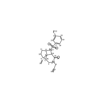 C#CCN1C[C@H](C=C)C23CCCC2N(S(=O)(=O)c2cccc(F)c2)C3C1=O